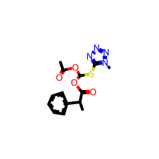 CC(=O)O[C](OC(=O)C(C)c1ccccc1)Sc1nnnn1C